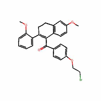 COc1ccc2c(c1)CCC(c1ccccc1OC)=C2C(=O)c1ccc(OCCBr)cc1